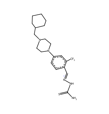 NC(=S)N/N=C/c1ccc(N2CCN(CC3CCCCC3)CC2)cc1C(F)(F)F